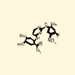 COc1cc(F)c([N+](=O)[O-])cc1Nc1nccc(Nc2cc(OC)c(OC)cc2C(C)=N)n1